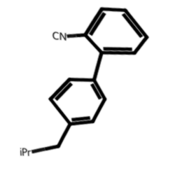 [C-]#[N+]c1ccccc1-c1ccc(CC(C)C)cc1